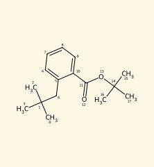 CC(C)(C)Cc1ccccc1C(=O)OC(C)(C)C